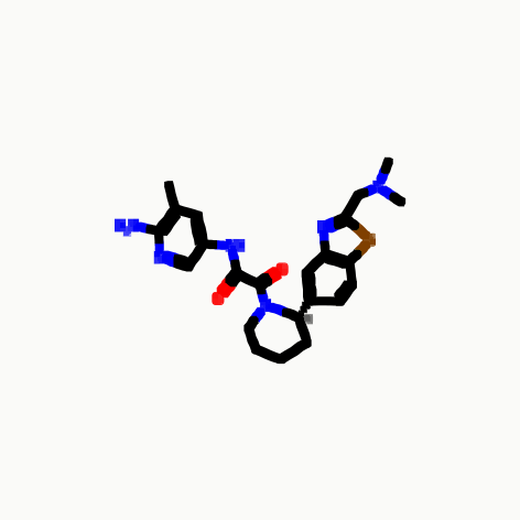 Cc1cc(NC(=O)C(=O)N2CCCC[C@H]2c2ccc3sc(CN(C)C)nc3c2)cnc1N